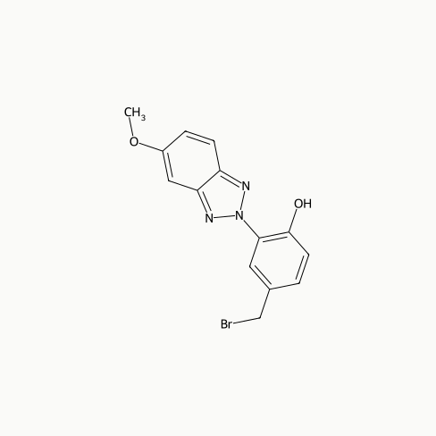 COc1ccc2nn(-c3cc(CBr)ccc3O)nc2c1